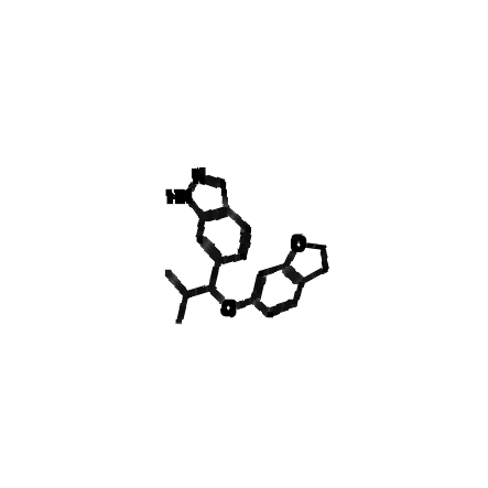 CC(C)C(Oc1ccc2c(c1)OCC2)c1ccc2cn[nH]c2c1